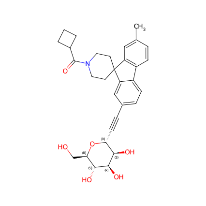 Cc1ccc2c(c1)C1(CCN(C(=O)C3CCC3)CC1)c1cc(C#C[C@H]3O[C@H](CO)[C@@H](O)[C@H](O)[C@@H]3O)ccc1-2